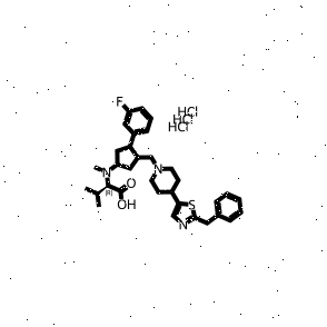 CC(C)[C@H](C(=O)O)N(C)C1CC(CN2CCC(c3cnc(Cc4ccccc4)s3)CC2)C(c2cccc(F)c2)C1.Cl.Cl.Cl